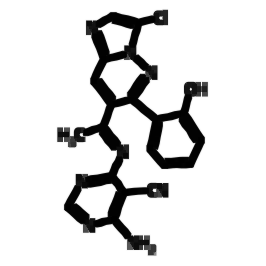 C/C(=N\c1ncnc(N)c1C#N)c1cc2ncc(Cl)n2nc1-c1ccccc1O